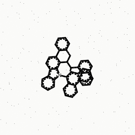 CC(c1cccc2ccccc12)C1Cc2ccccc2-c2ccc3c4ccccc4n(-c4cc5ccccc5c5ccccc45)c3c21